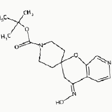 CC(C)(C)OC(=O)N1CCC2(CC1)C/C(=N\O)c1ccncc1O2